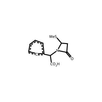 CSC1CC(=O)N1C(C(=O)O)c1ccccc1